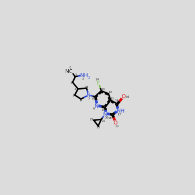 N#CC(N)CC1CCN(c2nc3c(cc2F)c(=O)[nH]c(=O)n3C2CC2)C1